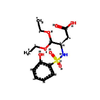 CCOC(OCC)[C@H](CC(=O)O)NS(=O)(=O)c1ccccc1O